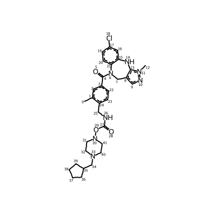 Cc1cc(C(=O)N2Cc3cnn(C)c3Nc3cc(Cl)ccc32)ccc1CNC(=O)ON1CCN(CC2CCCC2)CC1